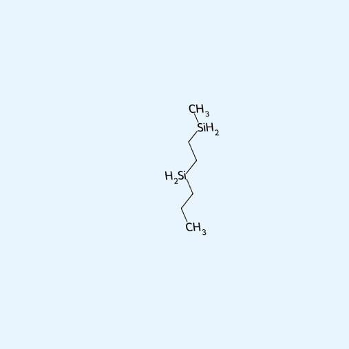 CCC[SiH2]CC[SiH2]C